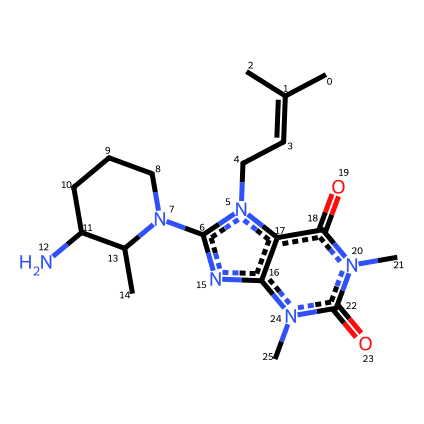 CC(C)=CCn1c(N2CCCC(N)C2C)nc2c1c(=O)n(C)c(=O)n2C